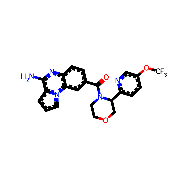 Nc1nc2ccc(C(=O)N3CCOCC3c3ccc(OC(F)(F)F)cn3)cc2n2cccc12